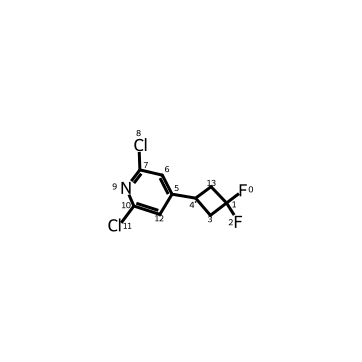 FC1(F)C[C](c2cc(Cl)nc(Cl)c2)C1